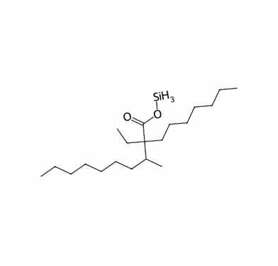 CCCCCCCC(C)C(CC)(CCCCCCC)C(=O)O[SiH3]